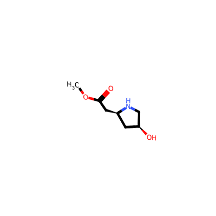 COC(=O)C[C@@H]1C[C@H](O)CN1